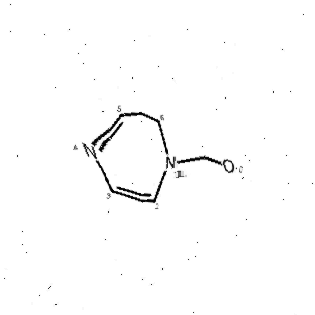 [O]N1C=CN=CC1